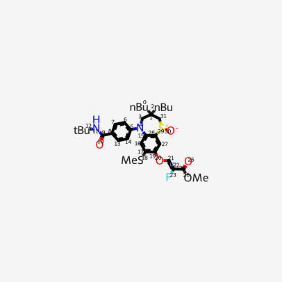 CCCCC1(CCCC)CN(c2ccc(C(=O)NC(C)(C)C)cc2)c2cc(SC)c(O/C=C(\F)C(=O)OC)cc2[S+]([O-])C1